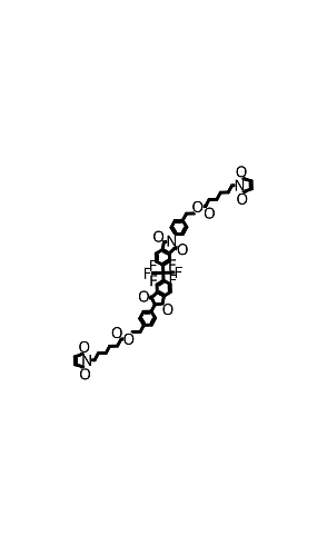 O=C(CCCCCN1C(=O)C=CC1=O)OCCc1ccc(C2C(=O)c3ccc(C(c4ccc5c(c4)C(=O)N(c4ccc(CCOC(=O)CCCCCN6C(=O)C=CC6=O)cc4)C5=O)(C(F)(F)F)C(F)(F)F)cc3C2=O)cc1